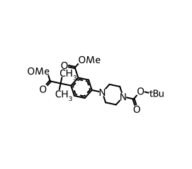 COC(=O)c1cc(N2CCN(C(=O)OC(C)(C)C)CC2)ccc1C(C)(C)C(=O)OC